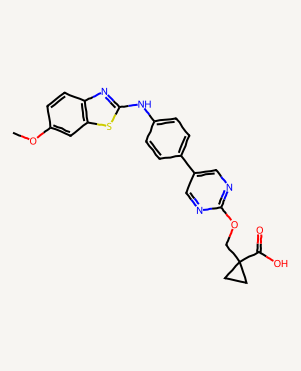 COc1ccc2nc(Nc3ccc(-c4cnc(OCC5(C(=O)O)CC5)nc4)cc3)sc2c1